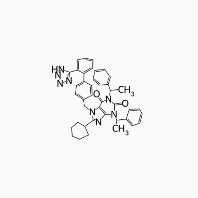 CC(c1ccccc1)n1c(=O)c2c(nc(C3CCCCC3)n2Cc2ccc(-c3ccccc3-c3nnn[nH]3)cc2)n(C(C)c2ccccc2)c1=O